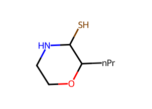 [CH2]CCC1OCCNC1S